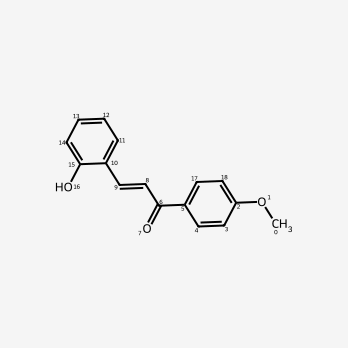 COc1ccc(C(=O)C=Cc2ccccc2O)cc1